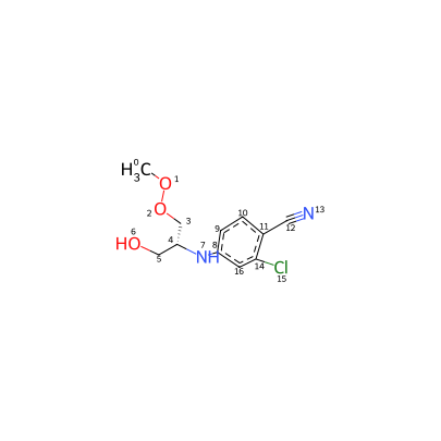 COOC[C@@H](CO)Nc1ccc(C#N)c(Cl)c1